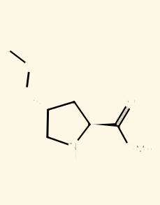 COC(=O)[C@@H]1C[C@@H](OSI)CN1